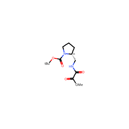 COC(=O)C(=O)NC[C@H]1CCCN1C(=O)OC(C)(C)C